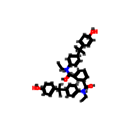 CCN(C(=O)c1cccc(C(=O)N(CC)c2ccc(C(C)(C)c3ccc(O)cc3)cc2)c1)c1ccc(C(C)(C)c2ccc(O)cc2)cc1